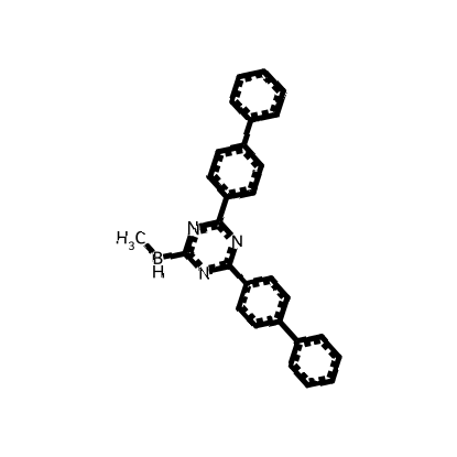 CBc1nc(-c2ccc(-c3ccccc3)cc2)nc(-c2ccc(-c3ccccc3)cc2)n1